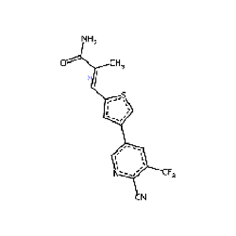 C/C(=C\c1cc(-c2cnc(C#N)c(C(F)(F)F)c2)cs1)C(N)=O